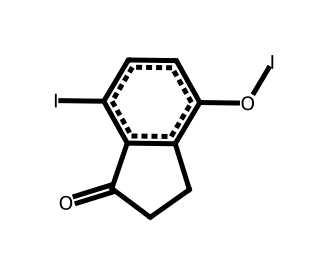 O=C1CCc2c(OI)ccc(I)c21